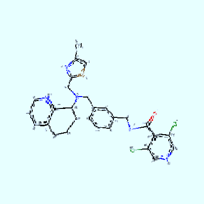 Cc1csc(CN(Cc2cccc(CNC(=O)c3c(Cl)cncc3Cl)c2)C2CCCc3cccnc32)n1